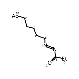 CCC(=O)N=NCCCCCC(C)=O